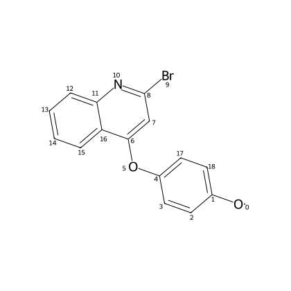 [O]c1ccc(Oc2cc(Br)nc3ccccc23)cc1